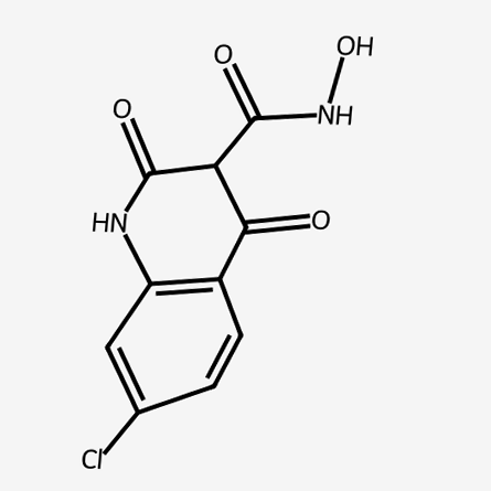 O=C(NO)C1C(=O)Nc2cc(Cl)ccc2C1=O